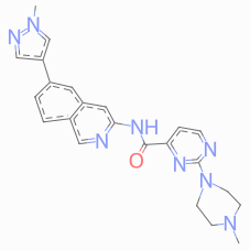 CN1CCN(c2nccc(C(=O)Nc3cc4cc(-c5cnn(C)c5)ccc4cn3)n2)CC1